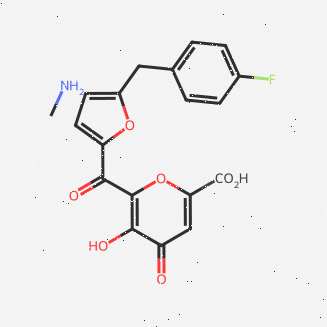 CN.O=C(O)c1cc(=O)c(O)c(C(=O)c2ccc(Cc3ccc(F)cc3)o2)o1